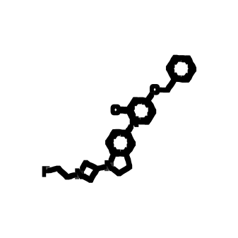 O=c1cc(OCc2ccccc2)ccn1-c1ccc2c(c1)CCN2C1CN(CCF)C1